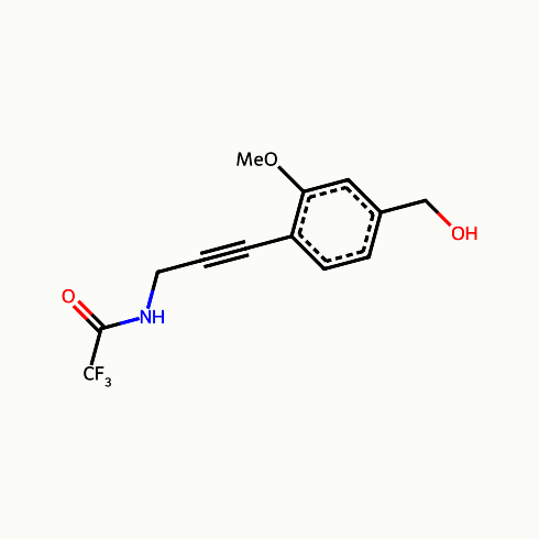 COc1cc(CO)ccc1C#CCNC(=O)C(F)(F)F